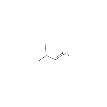 C=CC(I)I